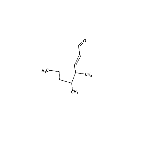 CCCC(C)C(C)C=CC=O